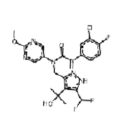 COc1ncc(N(Cc2n[nH]c(C(F)F)c2C(C)(C)O)C(=O)Nc2ccc(F)c(Cl)c2)cn1